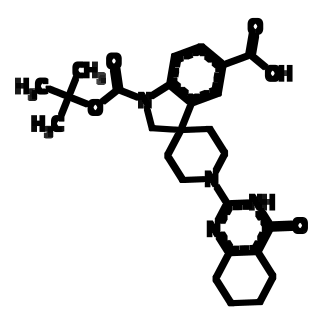 CC(C)(C)OC(=O)N1CC2(CCN(c3nc4c(c(=O)[nH]3)CCCC4)CC2)c2cc(C(=O)O)ccc21